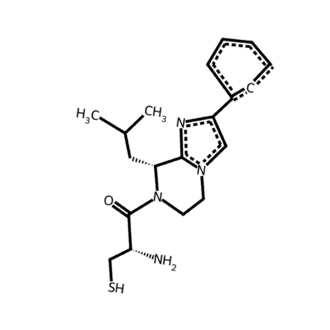 CC(C)C[C@@H]1c2nc(-c3ccccc3)cn2CCN1C(=O)[C@H](N)CS